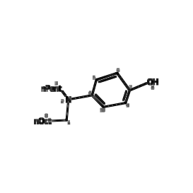 CCCCCCCCCN(CCCCC)c1ccc(O)cc1